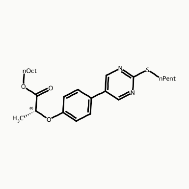 CCCCCCCCOC(=O)[C@@H](C)Oc1ccc(-c2cnc(SCCCCC)nc2)cc1